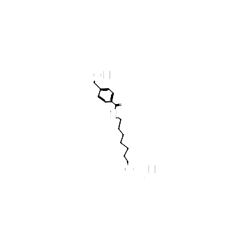 O=C(O)CCCCCCCNC(=O)c1ccc(CO)cc1